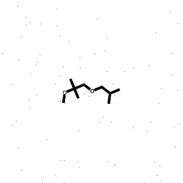 [CH2]OC(C)(C)COCC(C)C